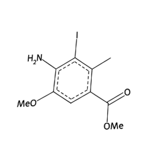 COC(=O)c1cc(OC)c(N)c(I)c1C